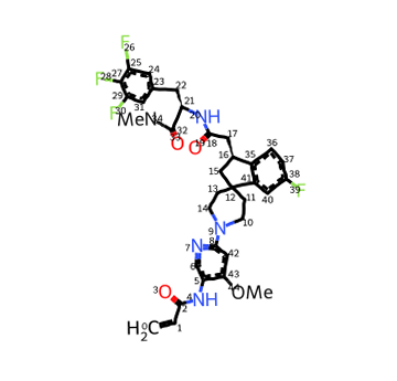 C=CC(=O)Nc1cnc(N2CCC3(CC2)C[C@@H](CC(=O)N[C@H](Cc2cc(F)c(F)c(F)c2)C(=O)NC)c2ccc(F)cc23)cc1OC